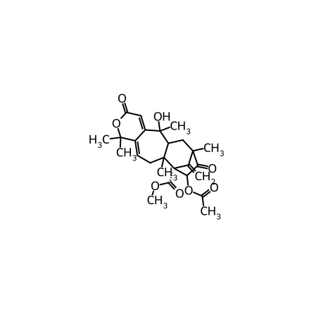 C=C1C2(C)CC3C(C)(O)C4=CC(=O)OC(C)(C)C4=CCC3(C)[C@]1(C(=O)OC)C(OC(C)=O)C2=O